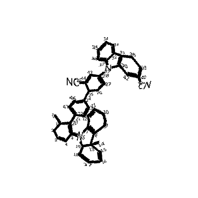 CC1CC=CC(N2C3=C(CCC=C3)C3(C)C=CC=CC23)=C1c1ccc(C2CC=C(n3c4c(c5ccccc53)CCC(C#N)=C4)C=C2C#N)cc1